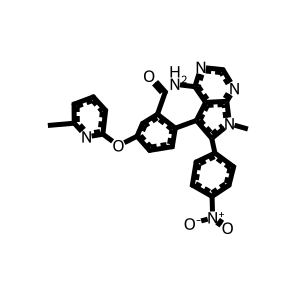 Cc1cccc(Oc2ccc(-c3c(-c4ccc([N+](=O)[O-])cc4)n(C)c4ncnc(N)c34)c(C=O)c2)n1